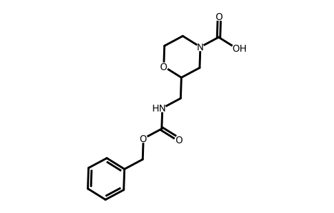 O=C(NCC1CN(C(=O)O)CCO1)OCc1ccccc1